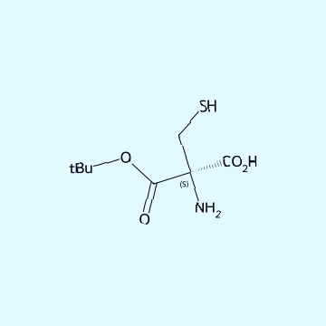 CC(C)(C)OC(=O)[C@](N)(CS)C(=O)O